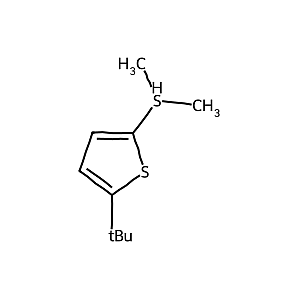 C[SH](C)c1ccc(C(C)(C)C)s1